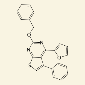 c1ccc(COc2nc(-c3ccco3)c3c(-c4ccccc4)csc3n2)cc1